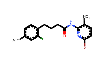 CC(=O)Oc1ccc(CCCC(=O)Nc2nc(Br)ccc2[N+](=O)[O-])c(Cl)c1